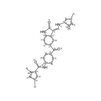 Cc1cc(N/C=C2\C(=O)Nc3ccc(C(=O)c4ccc(NC(=O)c5cc(C)nn5C)cc4)cc32)[nH]n1